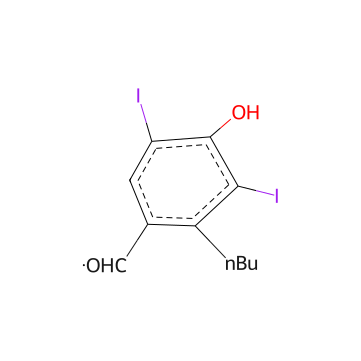 CCCCc1c([C]=O)cc(I)c(O)c1I